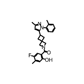 Cc1cc(C2CC3(C2)CN(C(=O)c2cc(F)c(C)cc2O)C3)n(-c2ccccc2C)n1